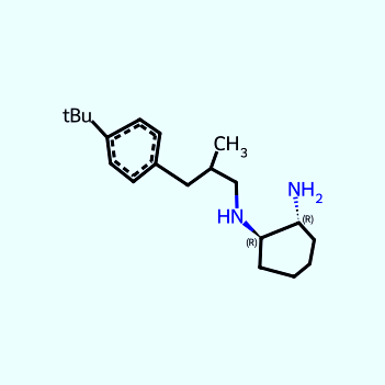 CC(CN[C@@H]1CCCC[C@H]1N)Cc1ccc(C(C)(C)C)cc1